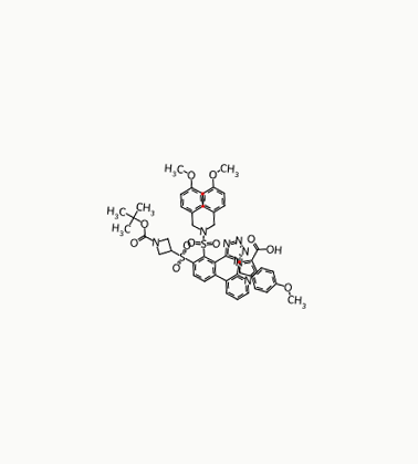 COc1ccc(CN(Cc2ccc(OC)cc2)S(=O)(=O)c2c(S(=O)(=O)C3CN(C(=O)OC(C)(C)C)C3)ccc(-c3cccn4cc(C(=O)O)nc34)c2-c2nnnn2Cc2ccc(OC)cc2)cc1